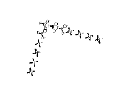 C[N+](C)(C)C.C[N+](C)(C)C.C[N+](C)(C)C.C[N+](C)(C)C.C[N+](C)(C)C.C[N+](C)(C)C.C[N+](C)(C)C.C[N+](C)(C)C.[O-]B([O-])F.[O-]B([O-])F.[O-]B([O-])F.[O-]B([O-])F